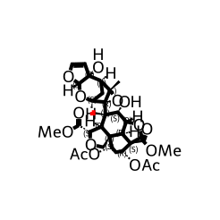 COC(=O)[C@H]1OC[C@@]23[C@@H](OC(C)=O)C[C@@H](OC(C)=O)[C@@]4(C(=O)OC)CO[C@@H]([C@@H](O)[C@@](C)([C@]56O[C@@]5(C)[C@H]5C[C@@H]6O[C@@H]6OC=C[C@@]65O)[C@H]12)[C@@H]43